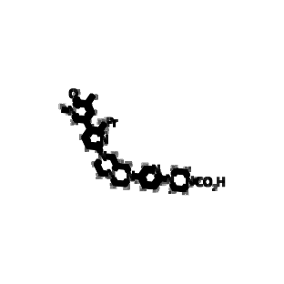 Cc1cc(-c2ccc(N3CCN4CCN(c5ccc(N6CCN(C(=O)O)CC6)nc5)CC4C3)nc2C(C)C)cn(C)c1=O